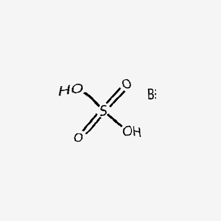 O=S(=O)(O)O.[B]